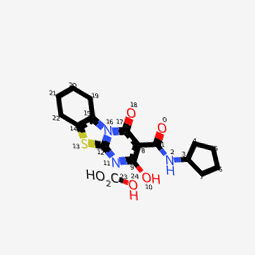 O=C(NC1CCCC1)c1c(O)nc2sc3c(n2c1=O)CCCC3.O=C(O)O